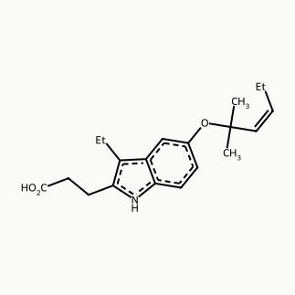 CC/C=C\C(C)(C)Oc1ccc2[nH]c(CCC(=O)O)c(CC)c2c1